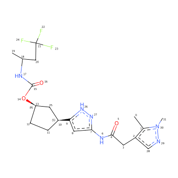 Cc1c(CC(=O)Nc2cc([C@H]3CC[C@@H](OC(=O)NC(C)CC(F)(F)F)C3)[nH]n2)cnn1C